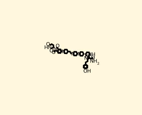 NC(=O)c1c(CCc2ccc(O)cc2)nn2c1NCC[C@H]2C1CCN(C2CCN(CCC3CCN(c4ccc5c(c4)C(=O)N(C4CCC(=O)NC4=O)C5=O)CC3)CC2)CC1